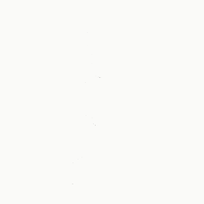 CC(C)CCC[C@@H](C)C1CC[C@@H]2[C@@H]3CC=C4CC(OC(=O)NCCOC(=O)C5(C)COC(=O)OC5)CC[C@]4(C)[C@H]3CC[C@]12C